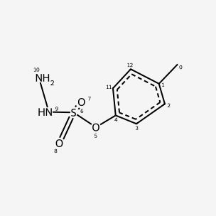 Cc1ccc(OS(=O)(=O)NN)cc1